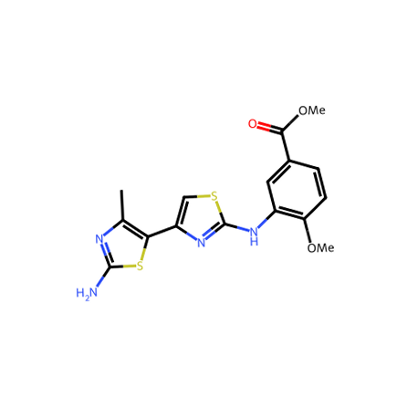 COC(=O)c1ccc(OC)c(Nc2nc(-c3sc(N)nc3C)cs2)c1